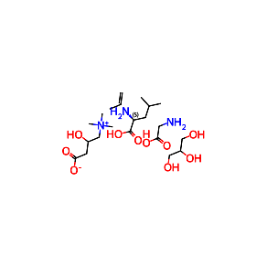 C=CC.CC(C)C[C@H](N)C(=O)O.C[N+](C)(C)CC(O)CC(=O)[O-].NCC(=O)O.OCC(O)CO